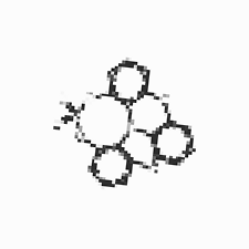 O=S1(=O)Oc2cccc3c2B2c4c(cccc4Oc4cccc(c42)O1)O3